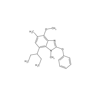 CCC(CC)c1cc(C)c(OC)c2nc(Oc3ccccc3)n(C)c12